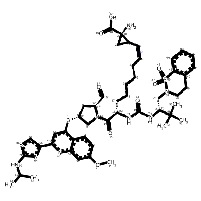 COc1ccc2c(O[C@@H]3C[C@@H](C=O)N(C(=O)[C@H](CCCCC/C=C\C4C[C@]4(N)C(=O)O)NC(=O)N[C@H](CN4CCc5ccccc5S4(=O)=O)C(C)(C)C)C3)cc(-c3csc(NC(C)C)n3)nc2c1